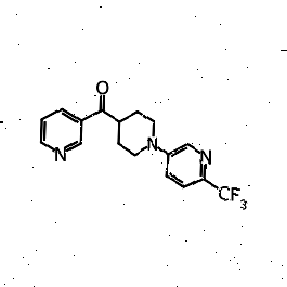 O=C(c1cccnc1)C1CCN(c2ccc(C(F)(F)F)nc2)CC1